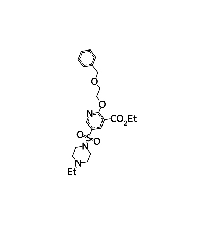 CCOC(=O)c1cc(S(=O)(=O)N2CCN(CC)CC2)cnc1OCCOCc1ccccc1